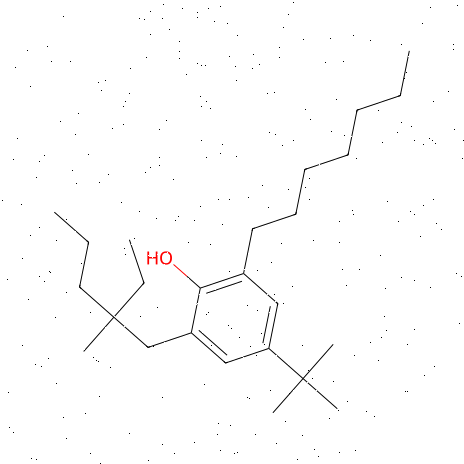 CCCCCCCc1cc(C(C)(C)C)cc(CC(C)(CC)CCC)c1O